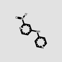 O=[N+]([O-])c1cc(Nc2ccncc2)ccn1